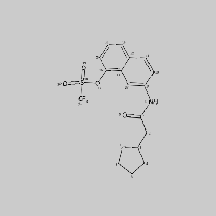 O=C(CC1CCCC1)Nc1ccc2cccc(OS(=O)(=O)C(F)(F)F)c2c1